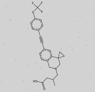 CC(CC(=O)O)CN1Cc2ccc(C#Cc3ccc(OC(F)(F)F)cc3)cc2C2(CC2)C1